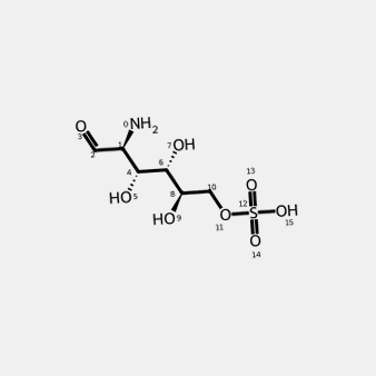 N[C@H](C=O)[C@@H](O)[C@H](O)[C@H](O)COS(=O)(=O)O